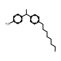 CCCCCCCCc1ccc(C(C)c2ccc(N)cc2)cc1